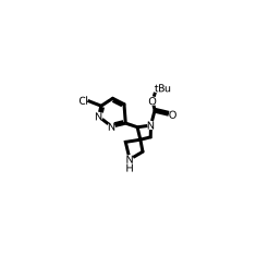 CC(C)(C)OC(=O)N1CC2(CNC2)C1c1ccc(Cl)nn1